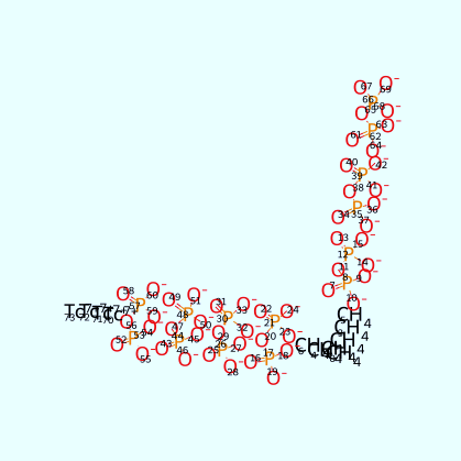 C.C.C.C.C.C.C.O=P([O-])([O-])OP(=O)([O-])[O-].O=P([O-])([O-])OP(=O)([O-])[O-].O=P([O-])([O-])OP(=O)([O-])[O-].O=P([O-])([O-])OP(=O)([O-])[O-].O=P([O-])([O-])OP(=O)([O-])[O-].O=P([O-])([O-])OP(=O)([O-])[O-].O=P([O-])([O-])OP(=O)([O-])[O-].[Tc+7].[Tc+7].[Tc+7].[Tc+7]